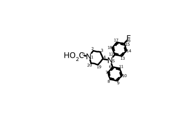 O=C(O)N1CCC(N(c2ccccc2)c2ccc(F)cc2)CC1